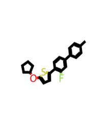 Cc1ccc(-c2ccc(-c3ccc(OC4CCCC4)s3)c(F)c2)cc1